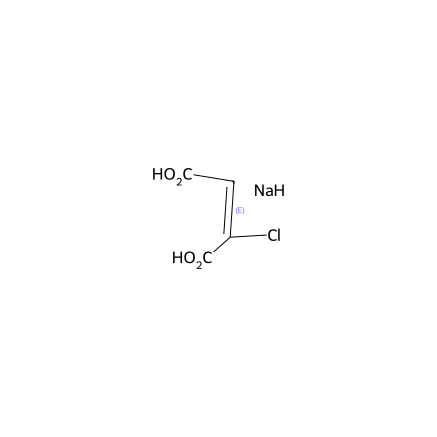 O=C(O)/C=C(/Cl)C(=O)O.[NaH]